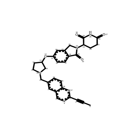 CC#Cc1ncc2cc(CN3CCC(Oc4ccc5c(c4)CN(C4CCC(=O)NC4=O)C5=O)C3)ccc2n1